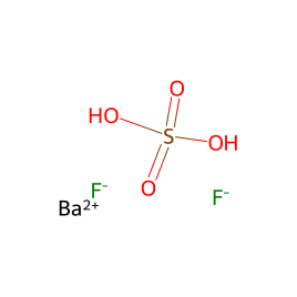 O=S(=O)(O)O.[Ba+2].[F-].[F-]